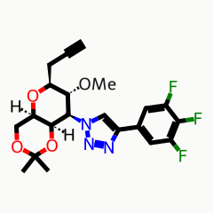 C#CC[C@@H]1O[C@@H]2COC(C)(C)O[C@@H]2[C@H](n2cc(-c3cc(F)c(F)c(F)c3)nn2)[C@H]1OC